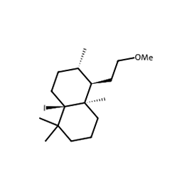 COCC[C@@H]1[C@@H](C)CC[C@@]2(I)C(C)(C)CCC[C@]12C